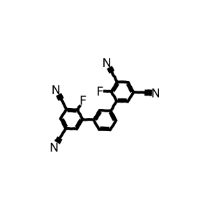 N#Cc1cc(C#N)c(F)c(-c2cccc(-c3cc(C#N)cc(C#N)c3F)c2)c1